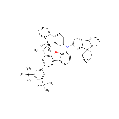 CC(C)c1cc(-c2cc(C(C)(C)C)cc(C(C)(C)C)c2)cc2c1oc1c(N(c3ccc4c(c3)C(C)(C)c3ccccc3-4)c3ccc4c(c3)C3(CC5CCC3C5)c3ccccc3-4)cccc12